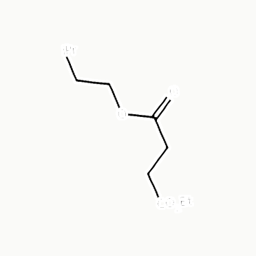 CCOC(=O)CCC(=O)OCCC(C)C